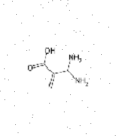 C=C(C(=O)O)C(N)N